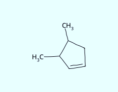 CC1C=CCC1C